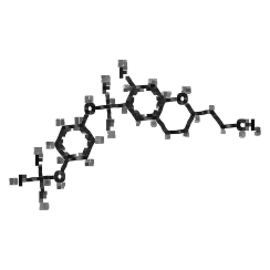 CCCC1CCc2cc(C(F)(F)Oc3ccc(OC(F)(F)F)cc3)c(F)cc2O1